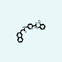 Nc1ccccc1NC(=O)c1ccc(NC(=O)Cc2ccc3ccccc3c2)cn1